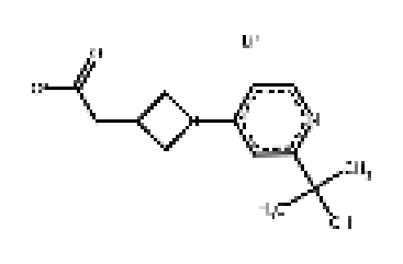 CC(C)(O)c1cc(N2CC(CC(=O)[O-])C2)ccn1.[Li+]